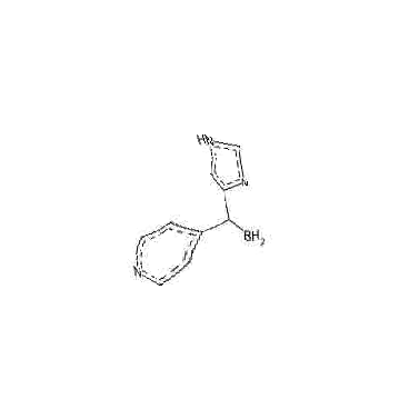 BC(c1ccncc1)c1c[nH]cn1